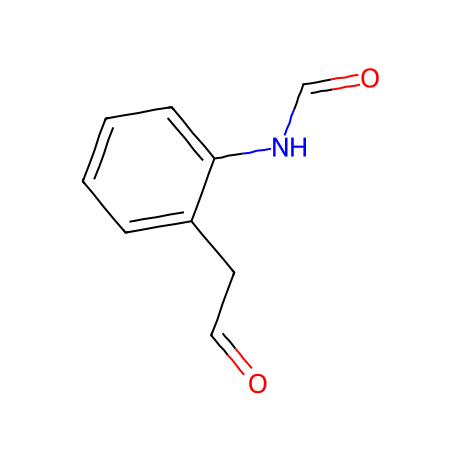 O=CCc1ccccc1NC=O